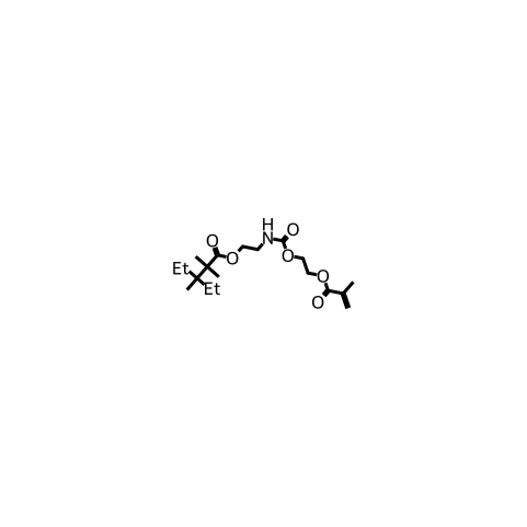 C=C(C)C(=O)OCCOC(=O)NCCOC(=O)C(C)(C)C(C)(CC)CC